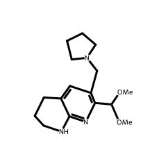 COC(OC)c1nc2c(cc1CN1CCCC1)CCCN2